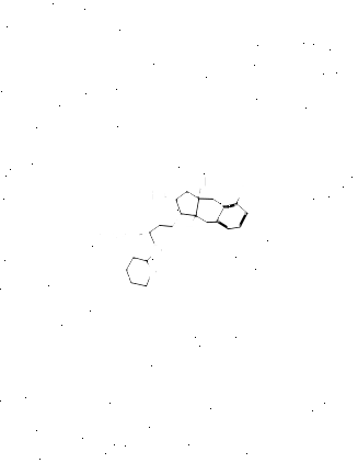 CCCCC[C@@H](CC[C@@H]1[C@H]2Cc3cccc(O)c3C[C@H]2C[C@H]1O)OC1CCCCO1